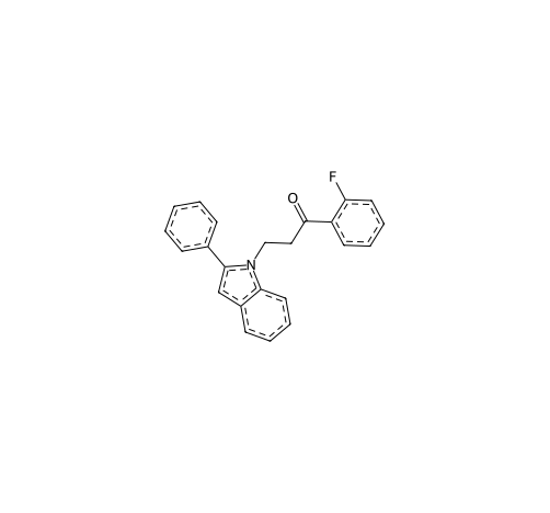 O=C(CCn1c(-c2ccccc2)cc2ccccc21)c1ccccc1F